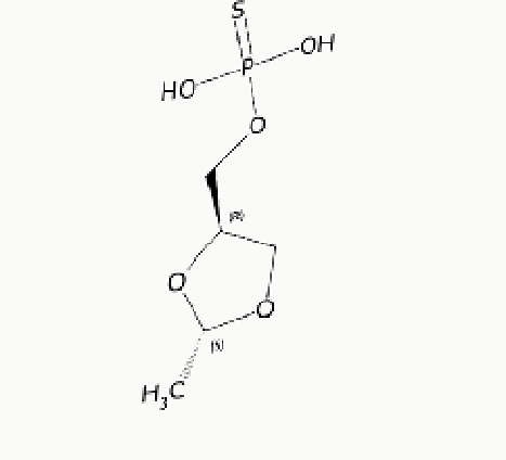 C[C@H]1OC[C@H](COP(O)(O)=S)O1